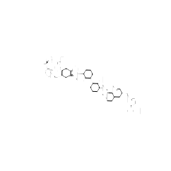 Cc1c(Nc2nccc3cc(CN4CCC(O)C4)cnc23)cccc1-c1cccc(-c2nc3cc(CN4CC[C@H](C(=O)O)C4)c(OC(F)F)cc3o2)c1C